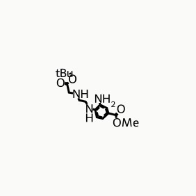 COC(=O)c1ccc(NCCNCC(=O)OC(C)(C)C)c(N)c1